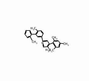 Cc1cc(C)c(-c2cc(-c3ccc(C)c(-c4ccccc4C)c3)ncc2C)c(C)c1